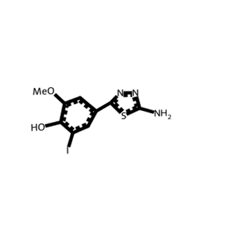 COc1cc(-c2nnc(N)s2)cc(I)c1O